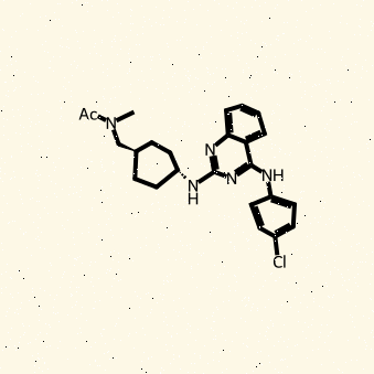 CC(=O)N(C)C[C@H]1CC[C@H](Nc2nc(Nc3ccc(Cl)cc3)c3ccccc3n2)CC1